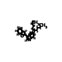 CCCCN(CCCC)c1ccc2ncc(-c3cc4ccccc4o3)n2n1